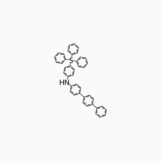 c1ccc(-c2ccc(-c3ccc(Nc4ccc(S(c5ccccc5)(c5ccccc5)c5ccccc5)cc4)cc3)cc2)cc1